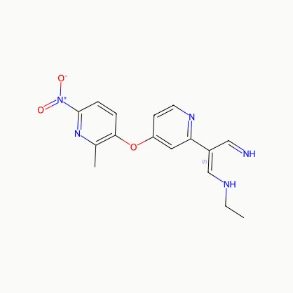 CCN/C=C(\C=N)c1cc(Oc2ccc([N+](=O)[O-])nc2C)ccn1